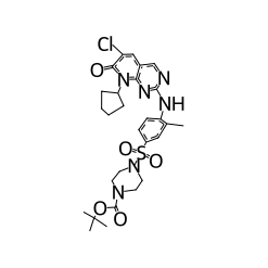 Cc1cc(S(=O)(=O)N2CCN(C(=O)OC(C)(C)C)CC2)ccc1Nc1ncc2cc(Cl)c(=O)n(C3CCCC3)c2n1